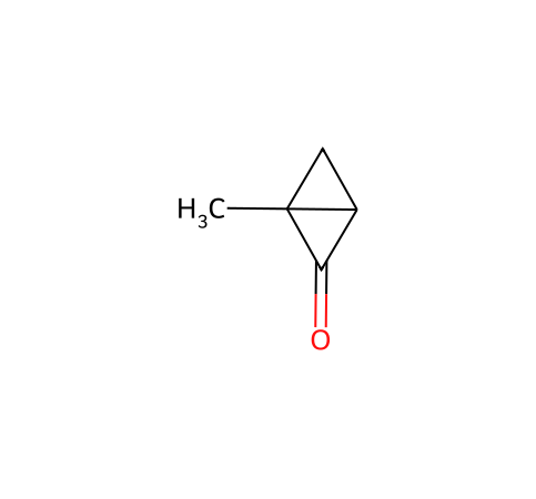 CC12CC1C2=O